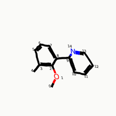 COc1c(C)cccc1-c1ccccn1